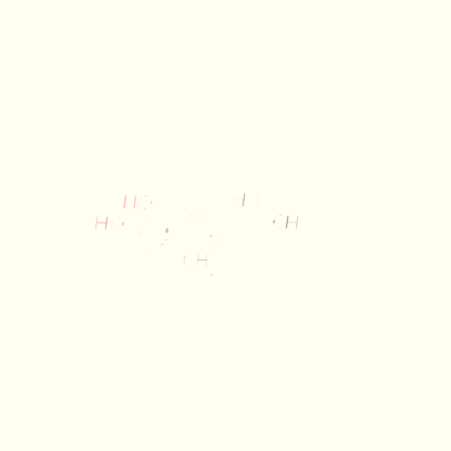 C=C(C(=O)OCCC(C)C)c1ccc(O)c(O)c1